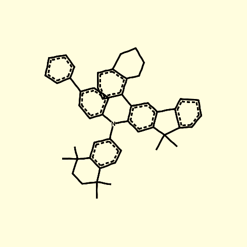 CC1(C)CCC(C)(C)c2cc(N(c3ccc(-c4ccccc4)cc3)c3cc4c(cc3-c3cccc5c3CCCC5)-c3ccccc3C4(C)C)ccc21